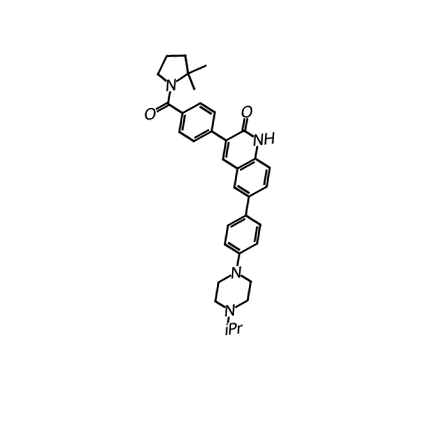 CC(C)N1CCN(c2ccc(-c3ccc4[nH]c(=O)c(-c5ccc(C(=O)N6CCCC6(C)C)cc5)cc4c3)cc2)CC1